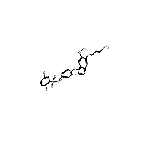 COc1cc2c(Oc3ccc(NS(=O)(=O)c4cc(F)ccc4F)cc3F)ccnc2cc1OCCCN